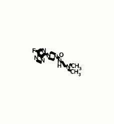 CCN(CC)CCNC(=O)N1CCN(c2ncc(F)c3nccnc23)CC1